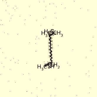 C=C(CCC/C=C/C=C/CCCCCCCCC[C@H](C)CC(C)C)C[C@H](S)CC